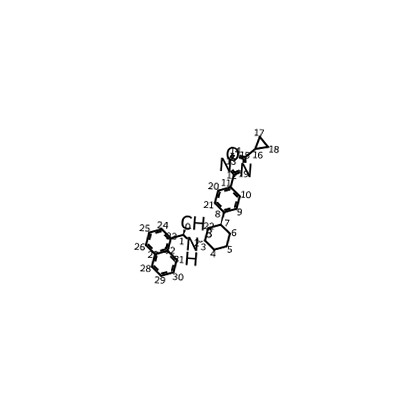 C[C@@H](N[C@H]1CCC[C@H](c2ccc(-c3noc(C4CC4)n3)cc2)C1)c1cccc2ccccc12